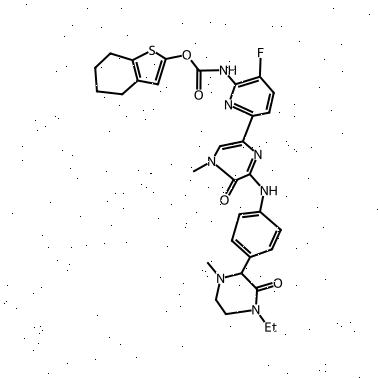 CCN1CCN(C)C(c2ccc(Nc3nc(-c4ccc(F)c(NC(=O)Oc5cc6c(s5)CCCC6)n4)cn(C)c3=O)cc2)C1=O